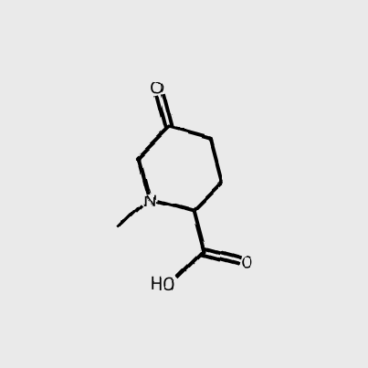 CN1CC(=O)CCC1C(=O)O